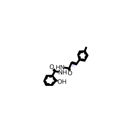 Cc1ccc(/C=C/C(=O)NNC(=O)c2ccccc2O)cc1